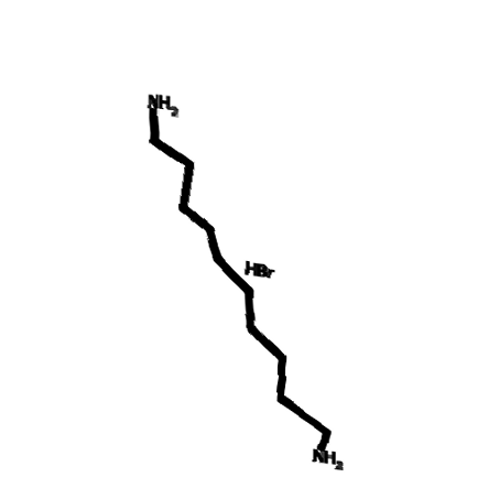 Br.NCCCCCCCCCCN